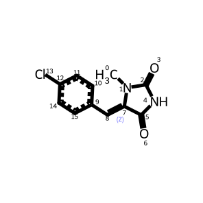 CN1C(=O)NC(=O)/C1=C/c1ccc(Cl)cc1